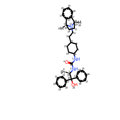 CC(C)[C@@H](NC(=O)NC1CCC(CCN2[C@@H]3CC[C@H]2c2ccccc23)CC1)C(O)(c1ccccc1)c1ccccc1